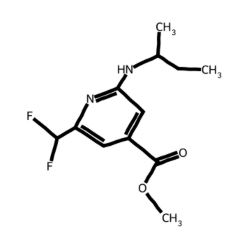 CCC(C)Nc1cc(C(=O)OC)cc(C(F)F)n1